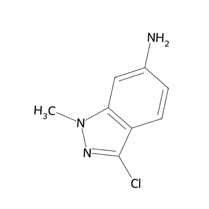 Cn1nc(Cl)c2ccc(N)cc21